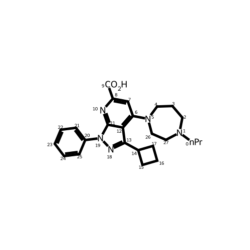 CCCN1CCCN(c2cc(C(=O)O)nc3c2c(C2CCC2)nn3-c2ccccc2)CC1